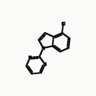 Clc1cccc2c1ccn2-c1ncccn1